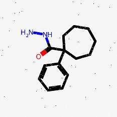 NNC(=O)C1(c2ccccc2)CCCCCC1